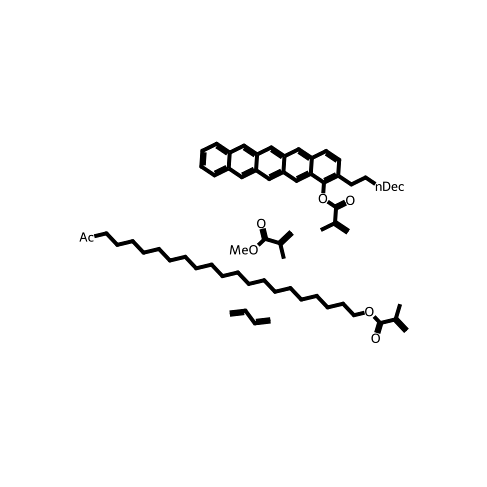 C=C(C)C(=O)OC.C=C(C)C(=O)OCCCCCCCCCCCCCCCCCCCCC(C)=O.C=C(C)C(=O)Oc1c(CCCCCCCCCCCC)ccc2cc3cc4cc5ccccc5cc4cc3cc12.C=CC=C